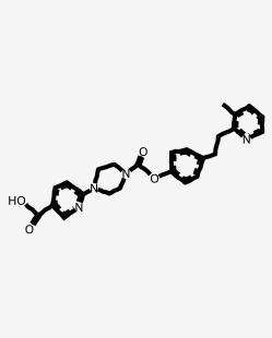 Cc1cccnc1CCc1ccc(OC(=O)N2CCN(c3ccc(C(=O)O)cn3)CC2)cc1